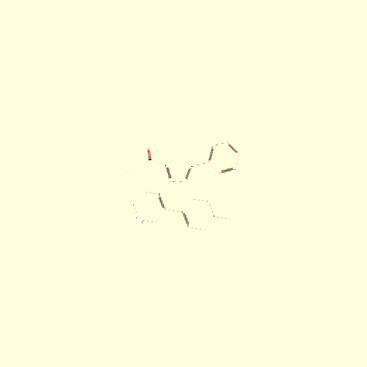 CC1CC=C(C2=C(c3cc(-c4ccccc4)sc3C(=O)O)CCN(C)C2)CC1